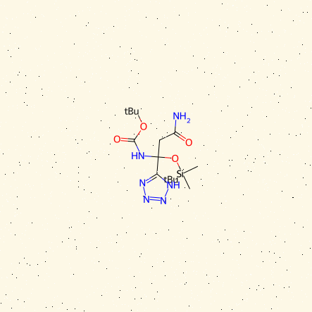 CC(C)(C)OC(=O)NC(CC(N)=O)(O[Si](C)(C)C(C)(C)C)c1nnn[nH]1